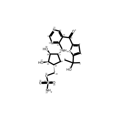 CC(C)(O)c1ccc(C(=O)c2cncnc2N[C@@H]2C[C@H](COS(N)(=O)=O)[C@@H](O)[C@H]2O)s1